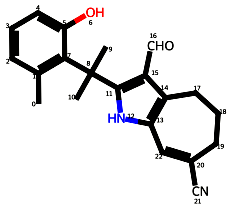 Cc1cccc(O)c1C(C)(C)c1[nH]c2c(c1C=O)CCCC(C#N)=C2